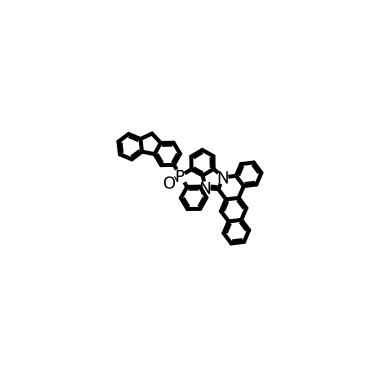 O=P(c1ccccc1)(c1ccc2c(c1)-c1ccccc1C2)c1cccc2c1nc1c3cc4ccccc4cc3c3ccccc3n21